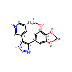 COc1cc(-c2nn[nH]c2-c2cccnc2)cc2c1OCO2